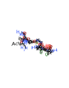 CC(=O)NC(CCCCN)C(=O)NC(C(=O)NC(CCCNC(N)=O)C(=O)Nc1ccc(COC(=S)N(C)CCN(C)C(=O)Oc2cc3c(c4c(C)c[nH]c24)C(CCl)CN3C(=O)C23CC4(C(=O)N5CC(CCl)c6c5cc(OP(=O)(O)O)c5[nH]cc(C)c65)CC24C3)cc1)C(C)C